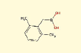 Cc1cccc(C)c1CB(O)O